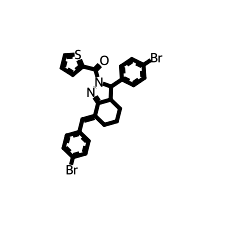 O=C(c1cccs1)N1N=C2/C(=C/c3ccc(Br)cc3)CCCC2C1c1ccc(Br)cc1